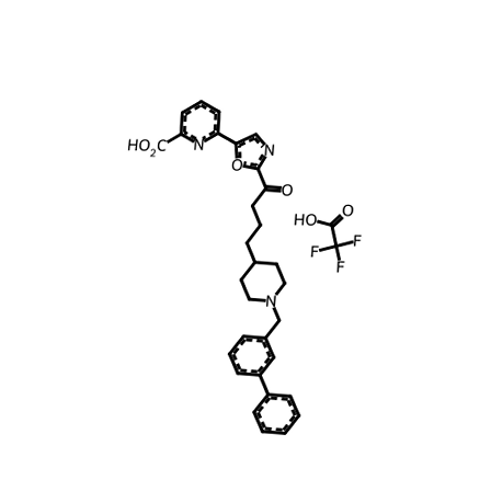 O=C(O)C(F)(F)F.O=C(O)c1cccc(-c2cnc(C(=O)CCCC3CCN(Cc4cccc(-c5ccccc5)c4)CC3)o2)n1